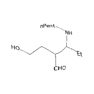 CCCCCNC(CC)C(C=O)CCO